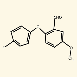 O=Cc1cc(OC(F)(F)F)ccc1Oc1ccc(F)cc1